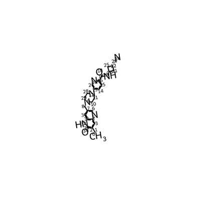 CCc1cc2ncc(CN3CCN(c4ccc(C(=O)N[C@H]5C[C@@H](C#N)C5)nc4)CC3)cc2[nH]c1=O